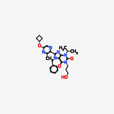 Cc1nc(OC2CCC2)cnc1-c1nc2c(c(=O)n(CCCO)c(=O)n2C(C)C)n1Cc1ccccc1